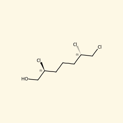 OC[C@@H](Cl)CCC[C@H](Cl)CCl